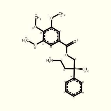 COc1cc(C(=O)OC[C@@](C)(CCN)c2ccccc2)cc(OC)c1OC